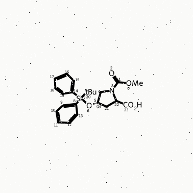 COC(=O)N1C[C@@H](O[Si](c2ccccc2)(c2ccccc2)C(C)(C)C)CC1C(=O)O